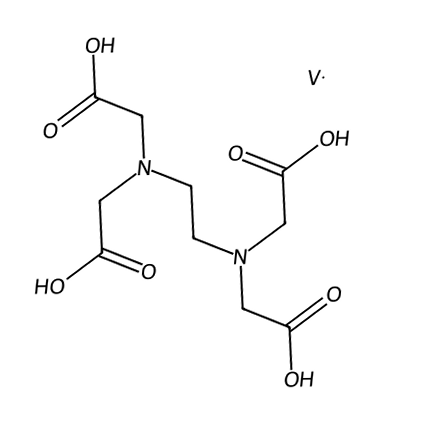 O=C(O)CN(CCN(CC(=O)O)CC(=O)O)CC(=O)O.[V]